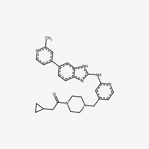 Cc1cc(-c2ccc3nc(Nc4cc(CN5CCN(C(=O)CC6CC6)CC5)ccn4)[nH]c3c2)ccn1